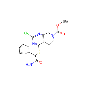 CC(C)(C)OC(=O)N1CCc2c(nc(Cl)nc2SC(C(N)=O)c2ccccc2)C1